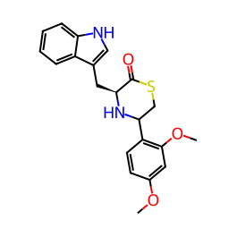 COc1ccc(C2CSC(=O)[C@H](Cc3c[nH]c4ccccc34)N2)c(OC)c1